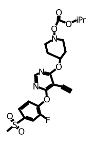 C#Cc1c(Oc2ccc(S(C)(=O)=O)cc2F)ncnc1OC1CCN(OC(=O)OC(C)C)CC1